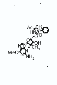 COc1nc(N)nc2c1ncn2[C@@H]1O[C@H](COP(=O)(N[C@@H](C)C(C)=O)Oc2ccccc2)[C@@H](O)[C@@]1(C)F